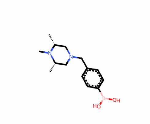 C[C@@H]1CN(Cc2ccc(B(O)O)cc2)C[C@H](C)N1C